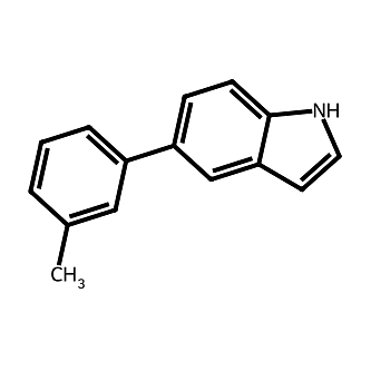 Cc1cccc(-c2ccc3[nH]ccc3c2)c1